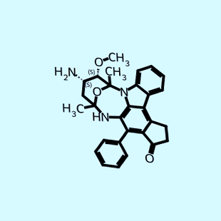 CO[C@H]1[C@@H](N)CC2(C)Nc3c(-c4ccccc4)c4c(c5c6ccccc6n(c35)C1(C)O2)CCC4=O